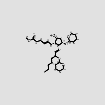 CCCCCC(C=C[C@@H]1[C@@H](CC=CCCC(=O)OC)[C@@H](O)C[C@H]1OC1CCCCO1)OC1CCCCO1